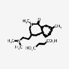 Cc1ccc2c(c1)C(=O)N(C)CC(CCN(C)C)C2.O=C(O)/C=C/C(=O)O